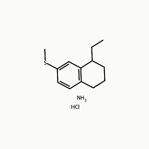 CCC1CCCc2ccc(SC)cc21.Cl.N